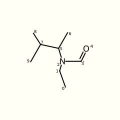 CCN([C]=O)C(C)C(C)C